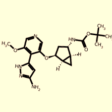 COc1cncc(O[C@H]2C[C@H](NC(=O)OC(C)(C)C)[C@H]3C[C@H]32)c1-c1cc(N)n[nH]1